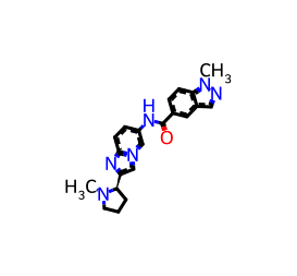 CN1CCC[C@@H]1c1cn2cc(NC(=O)c3ccc4c(cnn4C)c3)ccc2n1